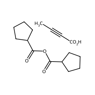 CC#CC(=O)O.O=C(OC(=O)C1CCCC1)C1CCCC1